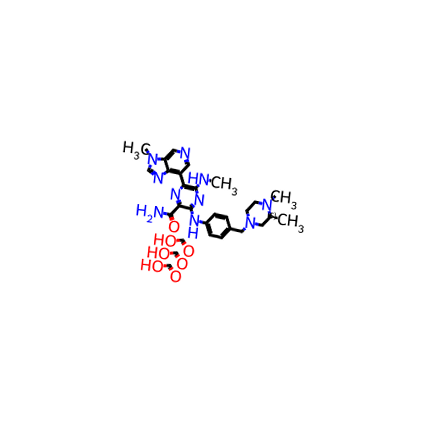 CNc1nc(Nc2ccc(CN3CCN(C)[C@@H](C)C3)cc2)c(C(N)=O)nc1-c1cncc2c1ncn2C.O=CO.O=CO.O=CO